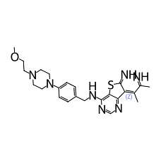 COCCN1CCN(c2ccc(CNc3ncnc4c3SC(=N)/C4=C(/C)C(C)=N)cc2)CC1